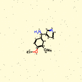 CCOc1ccc(C(N)c2cccnc2)cc1OC